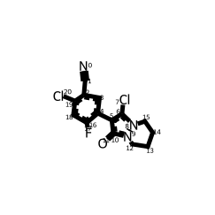 N#Cc1cc(-c2c(Cl)n3n(c2=O)CCCC3)c(F)cc1Cl